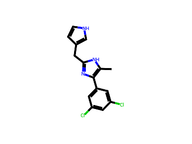 Cc1[nH]c(Cc2cc[nH]c2)nc1-c1cc(Cl)cc(Cl)c1